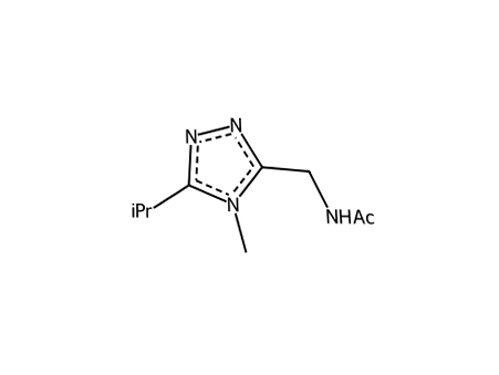 CC(=O)NCc1nnc(C(C)C)n1C